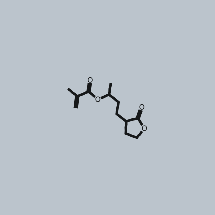 C=C(C)C(=O)OC(C)CCC1CCOC1=O